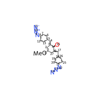 COC1C/C(=C\c2ccc(N=[N+]=[N-])cc2)C(=O)/C(=C/c2ccc(N=[N+]=[N-])cc2)C1